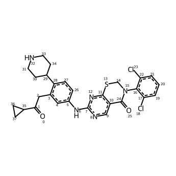 O=C(Cc1cc(Nc2ncc3c(n2)SCN(c2c(Cl)cccc2Cl)C3=O)ccc1C1CCNCC1)C1CC1